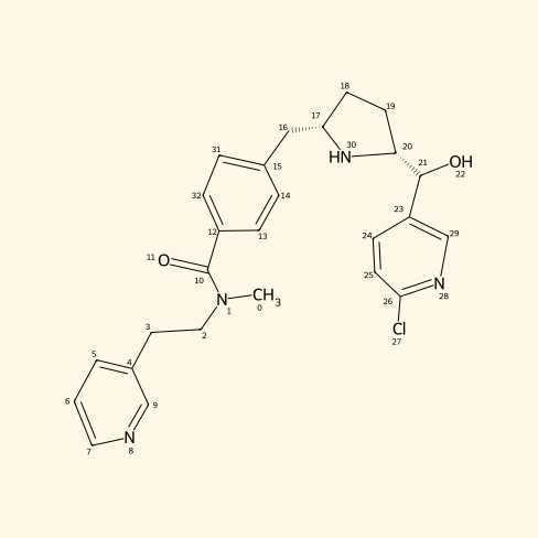 CN(CCc1cccnc1)C(=O)c1ccc(C[C@@H]2CC[C@H](C(O)c3ccc(Cl)nc3)N2)cc1